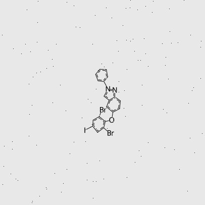 Brc1cc(I)cc(Br)c1Oc1ccc2nn(-c3ccccc3)cc2c1